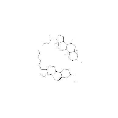 CC(C)CCC[C@@H](C)[C@H]1CCC2C3CC=C4CC(O)CC[C@]4(C)C3CC[C@@]21C.C[C@H](CCC(=O)[O-])[C@H]1CCC2C3C(C[C@H](O)[C@@]21C)[C@@]1(C)CC[C@@H](O)C[C@H]1C[C@H]3O.[Na+]